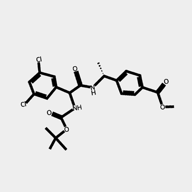 COC(=O)c1ccc([C@@H](C)NC(=O)C(NC(=O)OC(C)(C)C)c2cc(Cl)cc(Cl)c2)cc1